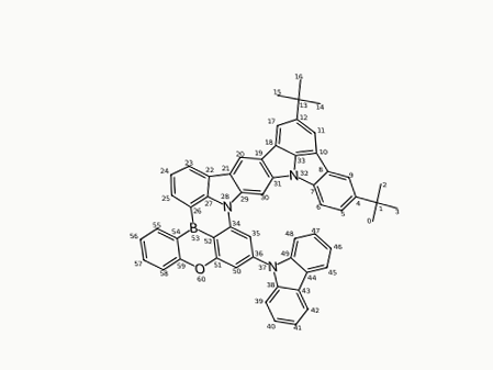 CC(C)(C)c1ccc2c(c1)c1cc(C(C)(C)C)cc3c4cc5c6cccc7c6n(c5cc4n2c13)-c1cc(-n2c3ccccc3c3ccccc32)cc2c1B7c1ccccc1O2